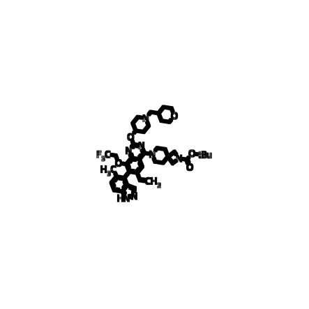 C=Cc1cc2c(N3CCC4(CC3)CN(C(=O)OC(C)(C)C)C4)nc(OC3CCN(CC4CCOCC4)CC3)nc2c(OCC(F)(F)F)c1-c1c(C)ccc2[nH]ncc12